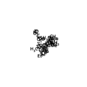 C=C1[C@@H](C)C[C@H](CC[C@@H]2O[C@@H](CCC3OCCO3)CC2=O)O[C@@H]1C[C@@H]1O[C@H](C[C@@H](CO[Si](C)(C)C(C)(C)C)O[Si](C)(C)C(C)(C)C)[C@H](OC)[C@H]1CS(=O)(=O)c1ccc(CC)cc1